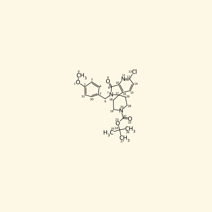 COc1ccc(CN2C(=O)c3nc(Cl)ccc3C23CCN(C(=O)OC(C)(C)C)CC3)cc1